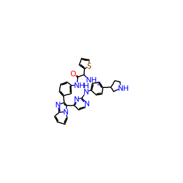 NC(C(=O)Nc1cccc(-c2nc3ccccn3c2-c2ccnc(Nc3ccc(C4CCNC4)cc3)n2)c1)c1cccs1